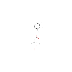 CC(=O)CC(O)(CF)CC(=O)OCc1ccccc1